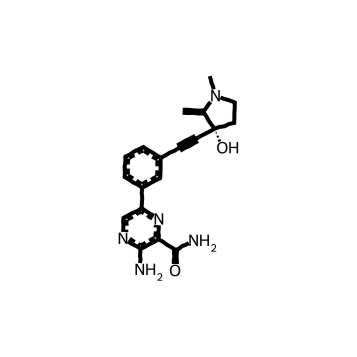 C=C1N(C)CC[C@@]1(O)C#Cc1cccc(-c2cnc(N)c(C(N)=O)n2)c1